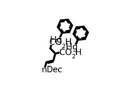 CCCCCCCCCCC=CC(CC(=O)O)C(=O)O.[Hg][c]1ccccc1.[Hg][c]1ccccc1